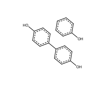 Oc1ccc(-c2ccc(O)cc2)cc1.Oc1ccccc1